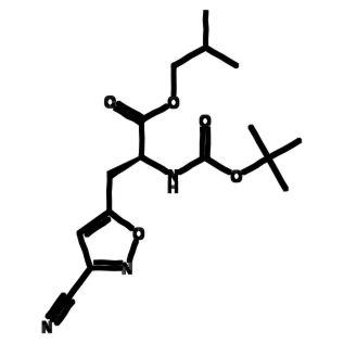 CC(C)COC(=O)[C@H](Cc1cc(C#N)no1)NC(=O)OC(C)(C)C